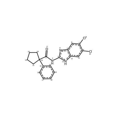 O=C(Nc1nc2cc(Cl)c(Cl)cc2[nH]1)C1(c2ccccc2)CCCC1